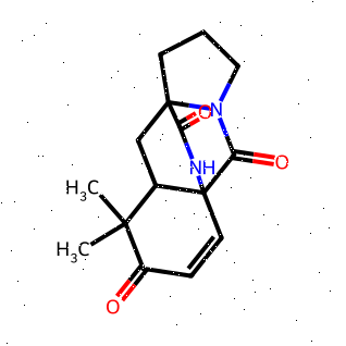 CC1(C)C(=O)C=CC23NC(=O)C4(CCCN4C2=O)CC13